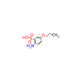 CCCOc1ccc(N)c(S(=O)(=O)O)c1